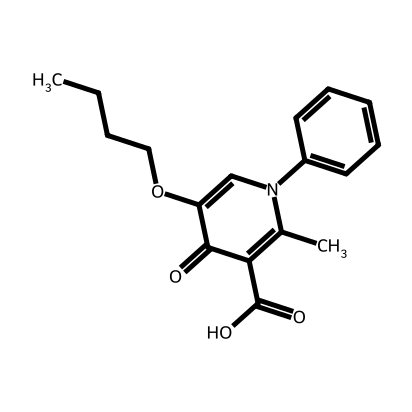 CCCCOc1cn(-c2ccccc2)c(C)c(C(=O)O)c1=O